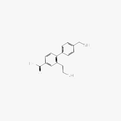 NCCc1cc(C(=O)O)ccc1-c1ccc(CN)cc1